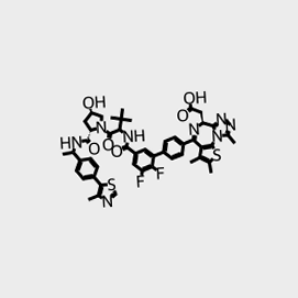 Cc1ncsc1-c1ccc(C(C)NC(=O)[C@@H]2C[C@@H](O)CN2C(=O)C(NC(=O)c2cc(F)c(F)c(-c3ccc(C4=N[C@@H](CC(=O)O)c5nnc(C)n5-c5sc(C)c(C)c54)cc3)c2)C(C)(C)C)cc1